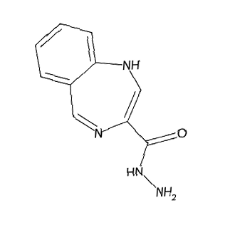 NNC(=O)C1=CNc2ccccc2C=N1